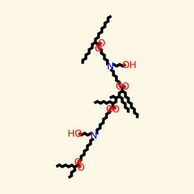 CCCCCCCCCCC(CCCCCCCC)C(=O)OCCCCCCN(CCCCO)CCCCCCOC(=O)C(CCCCCCCCCC)CC(CCCCCC)C(CC)CC(CCCCCC)C(=O)OCCCCCCCCCN(CCCCO)CCCCCCCCCOC(=O)C(CCCC)CCCCCC